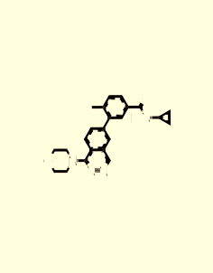 Cc1ccc(C(=O)NC2CC2)cc1-c1ccc2c(N3C[C@@H](C)OC[C@H]3C)nncc2c1